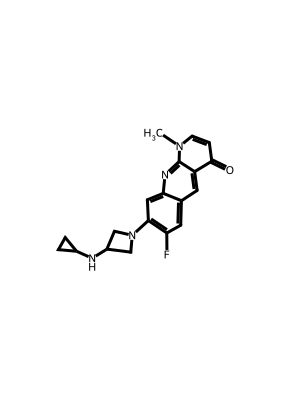 Cn1ccc(=O)c2cc3cc(F)c(N4CC(NC5CC5)C4)cc3nc21